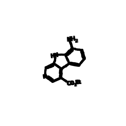 CCOC(=O)c1cncc2[nH]c3c(N)cccc3c12